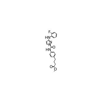 COC(=O)CCCc1ccc(NC(=O)n2ccc(Nc3ccccc3F)n2)cc1